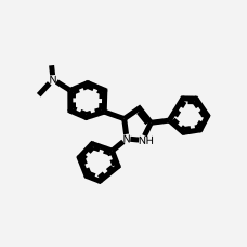 CN(C)c1ccc(C2C=C(c3ccccc3)NN2c2ccccc2)cc1